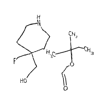 CC(C)(C)OC=O.OCC1(F)CCNCC1